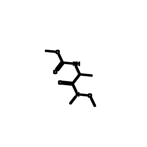 COC(=O)NC(C)C(=O)N(C)OC